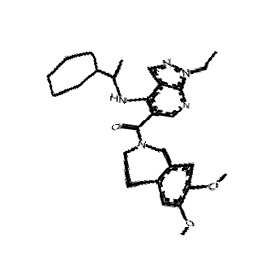 CCn1ncc2c(NC(C)C3CCCCC3)c(C(=O)N3CCc4cc(OC)c(OC)cc4C3)cnc21